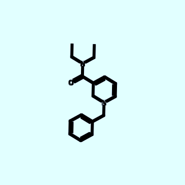 CCN(CC)C(=O)C1=CC=CN(Cc2ccccc2)C1